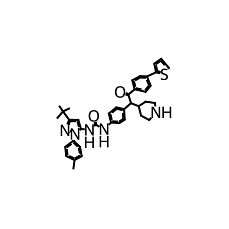 Cc1ccc(-n2nc(C(C)(C)C)cc2NC(=O)Nc2ccc(C(C(=O)c3ccc(-c4cccs4)cc3)C3CCNCC3)cc2)cc1